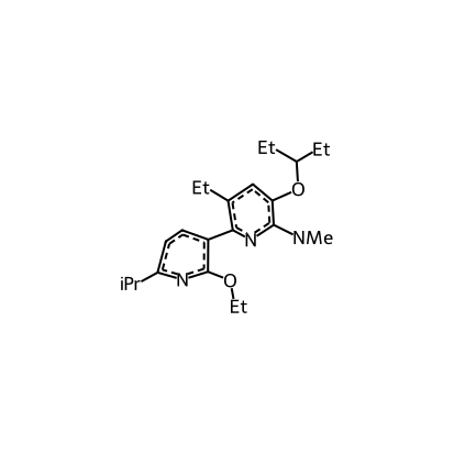 CCOc1nc(C(C)C)ccc1-c1nc(NC)c(OC(CC)CC)cc1CC